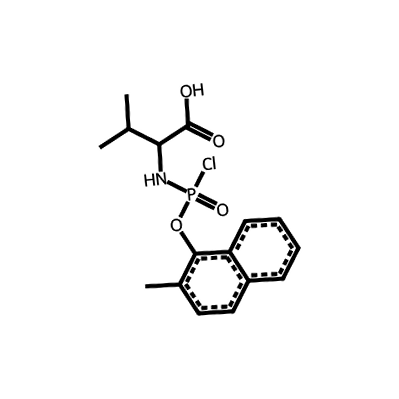 Cc1ccc2ccccc2c1OP(=O)(Cl)NC(C(=O)O)C(C)C